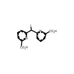 O=C(O)c1cccc(C(I)c2cccc(C(=O)O)n2)n1